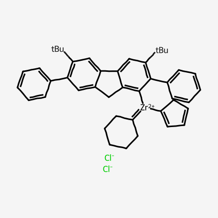 CC(C)(C)c1cc2c(cc1-c1ccccc1)Cc1c-2cc(C(C)(C)C)c(-c2ccccc2)[c]1[Zr+2]([C]1=CC=CC1)=[C]1CCCCC1.[Cl-].[Cl-]